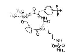 CC[C@@H](C)[C@@H]1NC(=O)[C@@H](Cc2ccc(C(F)(F)F)cc2)NC(=O)[C@H](CCCCNS(N)(=O)=O)NC(=O)C2CCCN2C1=O